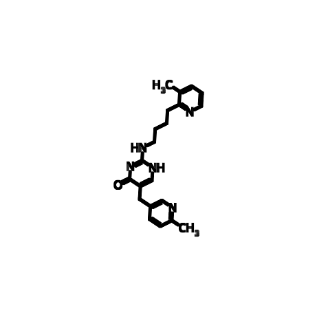 Cc1ccc(Cc2c[nH]c(NCCCCc3ncccc3C)nc2=O)cn1